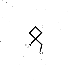 NC1(CS)CCC1